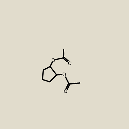 CC(=O)OC1CCCC1OC(C)=O